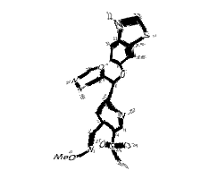 CO/N=C/c1cc(C(Oc2ccc3ncsc3c2)c2nnco2)ncc1S(C)(=O)=O